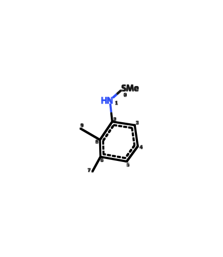 CSNc1cccc(C)c1C